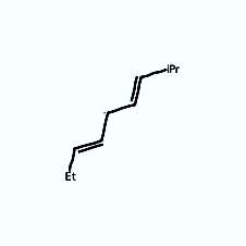 CCC=C[CH]C=CC(C)C